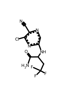 N#Cc1ncc(NC(CC(F)(F)F)C(N)=O)nc1Cl